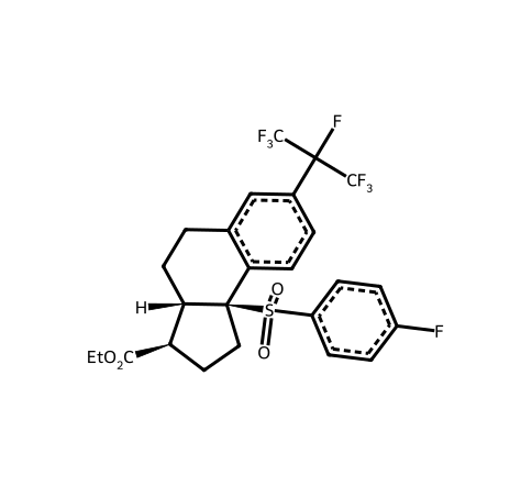 CCOC(=O)[C@@H]1CC[C@@]2(S(=O)(=O)c3ccc(F)cc3)c3ccc(C(F)(C(F)(F)F)C(F)(F)F)cc3CC[C@@H]12